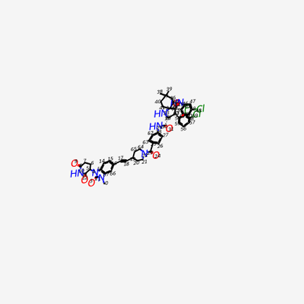 Cn1c(=O)n(C2CCC(=O)NC2=O)c2ccc(C#CC3CCN(C(=O)c4ccc(NC(=O)[C@@H]5NC6(CCC(C)(C)CC6)[C@@]6(C(=O)Nc7cc(Cl)ccc76)[C@H]5c5cccc(Cl)c5F)cc4)CC3)cc21